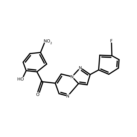 O=C(c1cnc2cc(-c3cccc(F)c3)nn2c1)c1cc([N+](=O)[O-])ccc1O